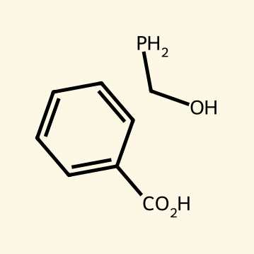 O=C(O)c1ccccc1.OCP